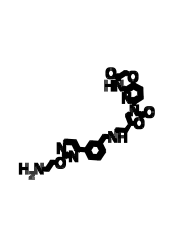 NCCOc1nccc(-c2cccc(CNCC[C@H]3CN(c4ccc5c(n4)NC(=O)CO5)C(=O)O3)c2)n1